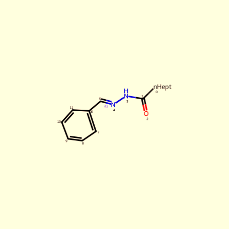 CCCCCCCC(=O)N/N=C/c1ccccc1